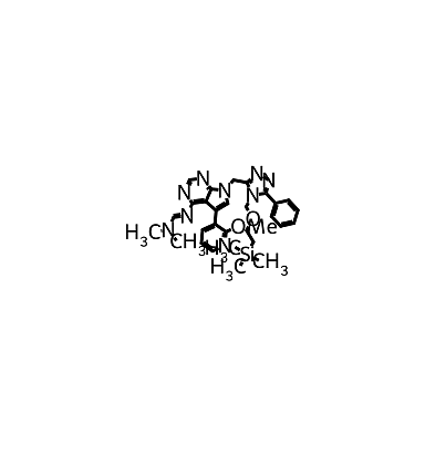 COc1ncccc1-c1cn(Cc2nnc(-c3ccccc3)n2COCC[Si](C)(C)C)c2ncnc(/N=C/N(C)C)c12